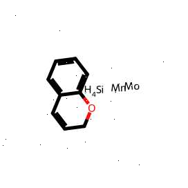 C1=Cc2ccccc2OC1.[Mn].[Mo].[SiH4]